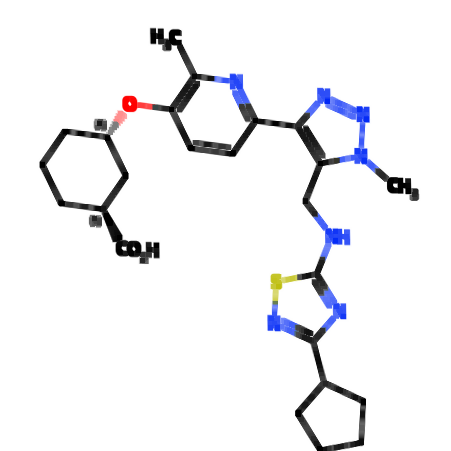 Cc1nc(-c2nnn(C)c2CNc2nc(C3CCCC3)ns2)ccc1O[C@H]1CCC[C@H](C(=O)O)C1